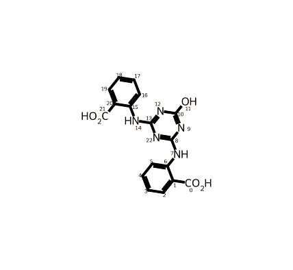 O=C(O)c1ccccc1Nc1nc(O)nc(Nc2ccccc2C(=O)O)n1